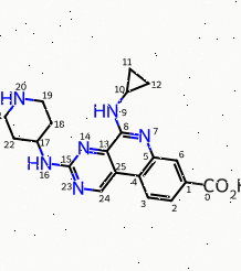 O=C(O)c1ccc2c(c1)nc(NC1CC1)c1nc(NC3CCNCC3)ncc12